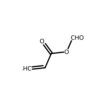 [CH]=CC(=O)OC=O